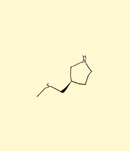 CSC[C@@H]1CCNC1